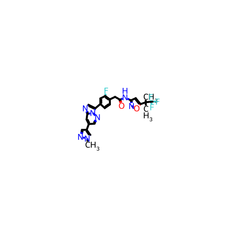 Cn1cc(-c2cnn3c(-c4ccc(CC(=O)Nc5cc(C(C)(C)C(F)(F)F)on5)c(F)c4)cnc3c2)cn1